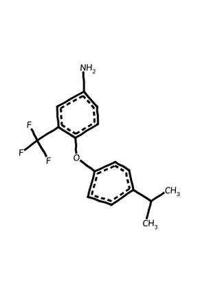 CC(C)c1ccc(Oc2ccc(N)cc2C(F)(F)F)cc1